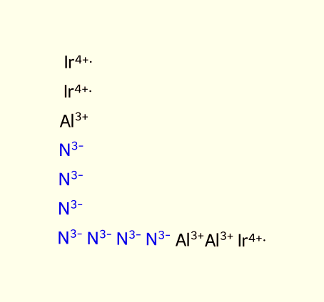 [Al+3].[Al+3].[Al+3].[Ir+4].[Ir+4].[Ir+4].[N-3].[N-3].[N-3].[N-3].[N-3].[N-3].[N-3]